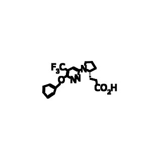 O=C(O)CC[C@H]1CCCN1c1cc(C(F)(F)F)c(OCc2ccccc2)nn1